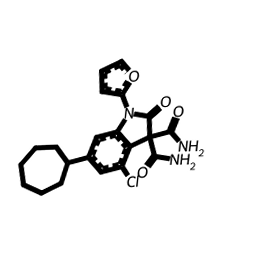 NC(=O)C1(C(N)=O)C(=O)N(c2ccco2)c2cc(C3CCCCCC3)cc(Cl)c21